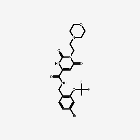 O=C(NCc1ccc(Br)cc1OC(F)(F)F)c1cc(=O)n(CCN2CCOCC2)c(=O)[nH]1